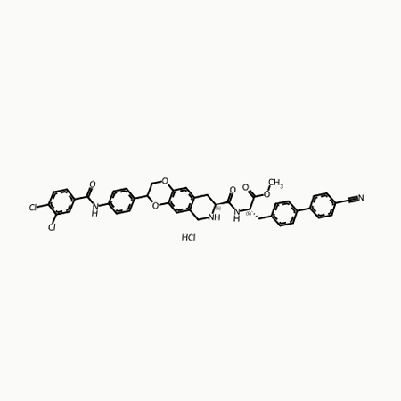 COC(=O)[C@H](Cc1ccc(-c2ccc(C#N)cc2)cc1)NC(=O)[C@@H]1Cc2cc3c(cc2CN1)OC(c1ccc(NC(=O)c2ccc(Cl)c(Cl)c2)cc1)CO3.Cl